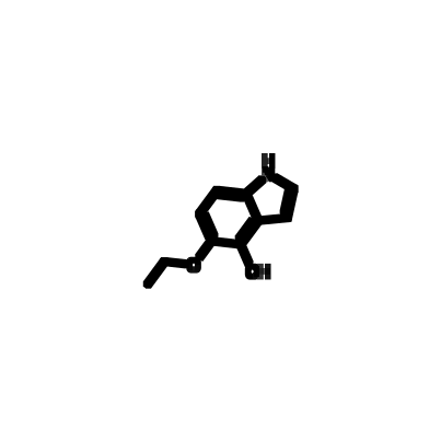 CCOc1ccc2[nH]ccc2c1O